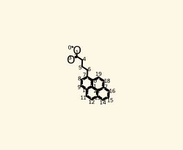 COC(=O)CCCc1ccc2ccc3cccc4ccc1c2c34